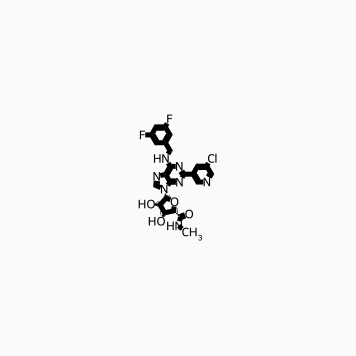 CNC(=O)[C@H]1O[C@@H](n2cnc3c(NCc4cc(F)cc(F)c4)nc(-c4cncc(Cl)c4)nc32)[C@H](O)[C@@H]1O